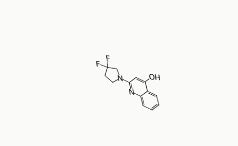 Oc1cc(N2CCC(F)(F)C2)nc2ccccc12